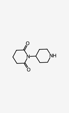 O=C1CCCC(=O)N1C1CCNCC1